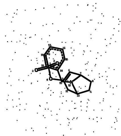 CS(=O)(=O)OC1=CC2CCC(C1)N2Cc1ccccc1